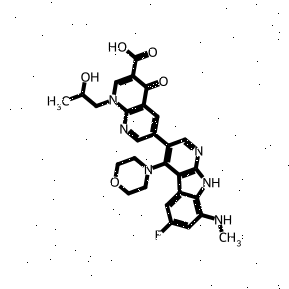 CNc1cc(F)cc2c1[nH]c1ncc(-c3cnc4c(c3)c(=O)c(C(=O)O)cn4CC(C)O)c(N3CCOCC3)c12